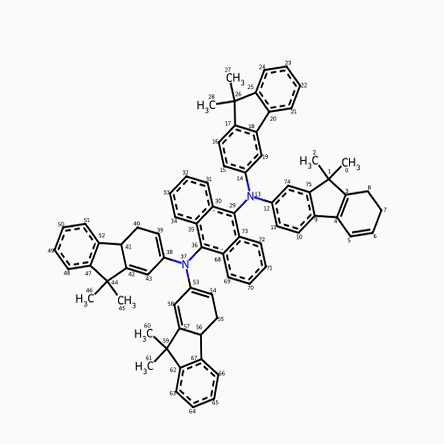 CC1(C)C2=C(C=CCC2)c2ccc(N(c3ccc4c(c3)-c3ccccc3C4(C)C)c3c4ccccc4c(N(C4=CCC5C(=C4)C(C)(C)c4ccccc45)C4=CCC5C(=C4)C(C)(C)c4ccccc45)c4ccccc34)cc21